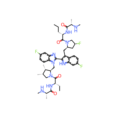 CCC[C@H](NC(=O)[C@H](C)NC)C(=O)N1C[C@@H](F)C[C@H]1Cc1c(-c2nc3cc(F)ccc3n2C[C@@H]2[C@@H](C)[C@@H](C)CN2C(=O)[C@H](CC)NC(=O)[C@H](C)NC)[nH]c2cc(F)ccc12